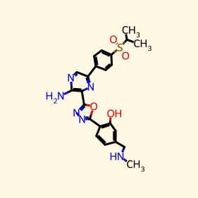 CNCc1ccc(-c2nnc(-c3nc(-c4ccc(S(=O)(=O)C(C)C)cc4)cnc3N)o2)c(O)c1